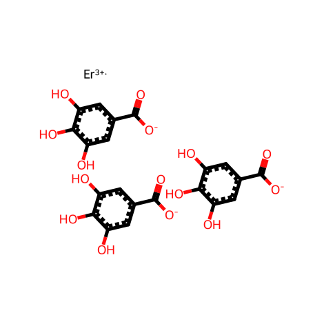 O=C([O-])c1cc(O)c(O)c(O)c1.O=C([O-])c1cc(O)c(O)c(O)c1.O=C([O-])c1cc(O)c(O)c(O)c1.[Er+3]